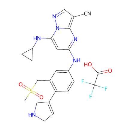 CS(=O)(=O)Cc1cc(Nc2cc(NC3CC3)n3ncc(C#N)c3n2)ccc1C1=CCNC1.O=C(O)C(F)(F)F